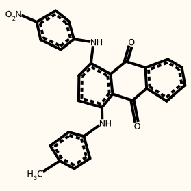 Cc1ccc(Nc2ccc(Nc3ccc([N+](=O)[O-])cc3)c3c2C(=O)c2ccccc2C3=O)cc1